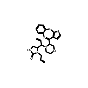 C=CCN1C(=O)NCC1C(C=C)N1CCNCC1C1=Nc2ccccc2Sc2sccc21